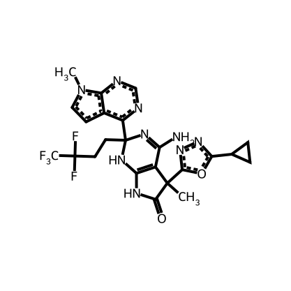 Cn1ccc2c(C3(CCC(F)(F)C(F)(F)F)N=C(N)C4=C(NC(=O)C4(C)c4nnc(C5CC5)o4)N3)ncnc21